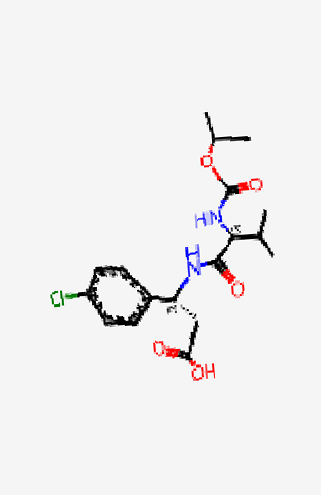 CC(C)OC(=O)N[C@H](C(=O)N[C@H](CC(=O)O)c1ccc(Cl)cc1)C(C)C